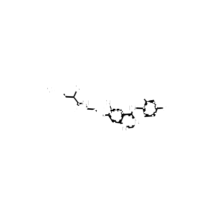 COCC(N)C(=O)NCCOc1cc2ncnc(Nc3ccc(Br)cc3F)c2cc1[N+](=O)[O-]